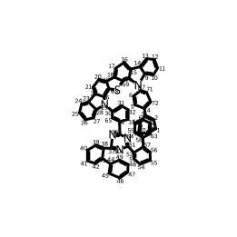 c1ccc(-c2ccc(-n3c4ccccc4c4ccc5c6ccc7c8ccccc8n(-c8cccc(-c9nc(-c%10ccccc%10-c%10ccccc%10)nc(-c%10ccccc%10-c%10ccccc%10)n9)c8)c7c6sc5c43)cc2)cc1